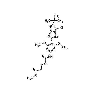 COC(=O)CCOC(=O)Nc1cc(OC)c(-c2nn3nc(C(C)(C)C)c(Cl)c3[nH]2)c(OC)c1